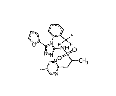 CC(Cc1ncc(F)cn1)S(=O)(=O)Nc1nnc(-c2ccco2)n1-c1ccccc1C(F)(F)F